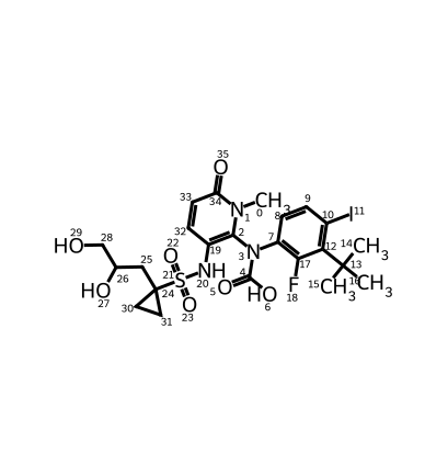 Cn1c(N(C(=O)O)c2ccc(I)c(C(C)(C)C)c2F)c(NS(=O)(=O)C2(CC(O)CO)CC2)ccc1=O